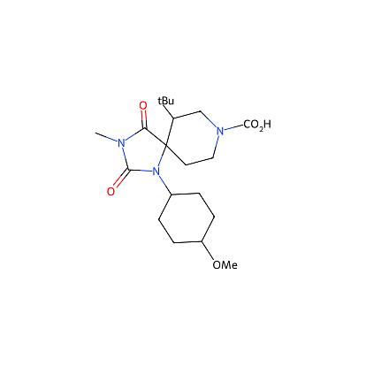 COC1CCC(N2C(=O)N(C)C(=O)C23CCN(C(=O)O)CC3C(C)(C)C)CC1